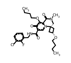 CCCCOc1c2n(cc(C(=O)NCc3cccc(Cl)c3F)c1=O)[C@]1(CN(C)C2=O)C[C@@H](OCCCC)C1